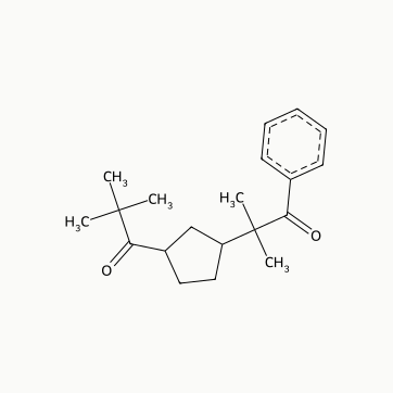 CC(C)(C)C(=O)C1CCC(C(C)(C)C(=O)c2ccccc2)C1